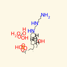 CC(C)[C@@H](CC[C@@H](C)[C@H]1CC[C@H]2[C@@H]3[C@H](O)C[C@H]4C[C@@H](NCCCNCCCCN)CC[C@]4(C)[C@H]3CC[C@]12C)OS(=O)(=O)O.C[C@H](O)C(=O)O.O